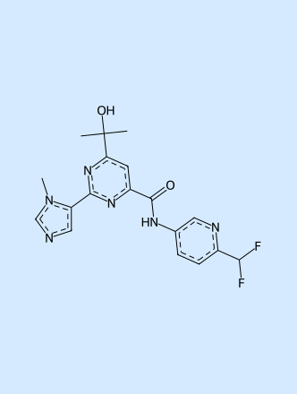 Cn1cncc1-c1nc(C(=O)Nc2ccc(C(F)F)nc2)cc(C(C)(C)O)n1